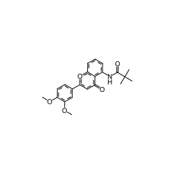 COc1ccc(-c2cc(=O)c3c(NC(=O)C(C)(C)C)cccc3o2)cc1OC